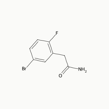 NC(=O)Cc1cc(Br)ccc1F